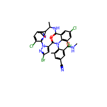 CNC(=O)c1cc(C#N)cc(C)c1N(C(=O)c1cc(Br)nn1-c1ncccc1Cl)c1c(Br)cc(Cl)cc1C(=O)NC(C)C1CC1